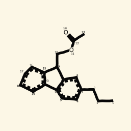 CCCc1ccc2c(c1)C(COC(C)=O)c1ccccc1-2